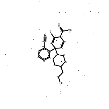 CCCC1CCC(C2(c3ccccc3C#N)C=CC(C(=O)O)C(F)=C2)CC1